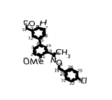 COc1ccc(-c2cccc(CC(=O)O)c2)cc1/C(C)=N/OCc1ccc(Cl)cc1